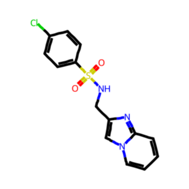 O=S(=O)(NCc1cn2ccccc2n1)c1ccc(Cl)cc1